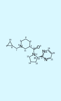 O=C(C1CCCN(CC2CC2)C1)N1CCC[C@@H]1c1ncccn1